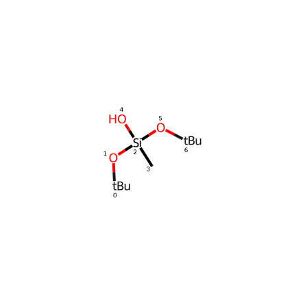 CC(C)(C)O[Si](C)(O)OC(C)(C)C